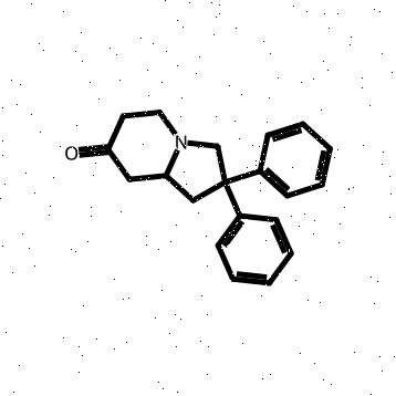 O=C1CCN2CC(c3ccccc3)(c3ccccc3)CC2C1